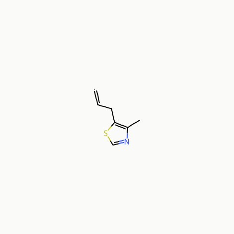 [CH]=CCc1scnc1C